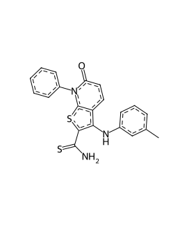 Cc1cccc(Nc2c(C(N)=S)sc3c2ccc(=O)n3-c2ccccc2)c1